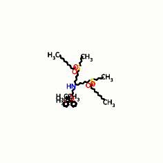 CCCCCCCCCC(=O)OC(CCCCC(CCCCC(CSCCCCC)OC(=O)CCCCCCCCC)NCCCCO[Si](c1ccccc1)(c1ccccc1)C(C)(C)C)CSCCCCC